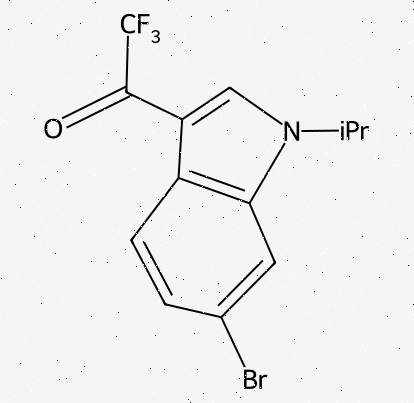 CC(C)n1cc(C(=O)C(F)(F)F)c2ccc(Br)cc21